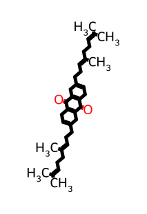 CC(C)=CCC/C(C)=C/CCC1=CCC2=C(C1)C(=O)C1=C(CC(CC/C=C(\C)CCC=C(C)C)=CC1)C2=O